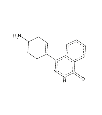 NC1CC=C(c2n[nH]c(=O)c3ccccc23)CC1